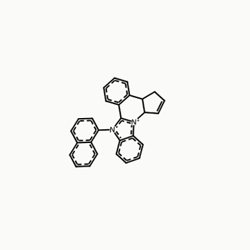 C1=CC2C(C1)c1ccccc1-c1n(-c3cccc4ccccc34)c3ccccc3[n+]12